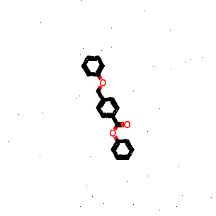 O=C(Oc1ccccc1)c1ccc(COc2ccccc2)cc1